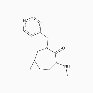 CNC1CC2CC2CN(Cc2ccncc2)C1=O